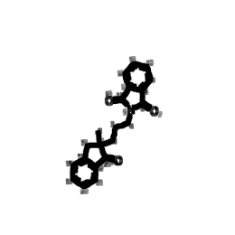 CC1(CCCN2C(=O)c3ccccc3C2=O)Cc2ccccc2C1=O